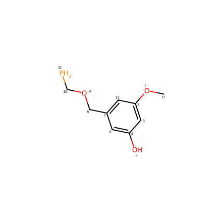 COc1cc(O)cc(COCP)c1